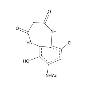 CC(=O)Nc1cc(Cl)c2c(c1O)NC(=O)CC(=O)N2